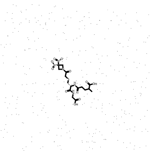 CC(CCC(=O)N[C@@H](CSCC(=O)N1CC([N+](=O)[O-])([N+](=O)[O-])C1)C(=O)NCC(=O)O)C(=O)O